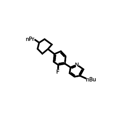 CCCCc1ccc(-c2ccc(C3CCC(CCC)CC3)cc2F)nc1